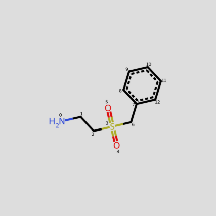 NCCS(=O)(=O)Cc1ccccc1